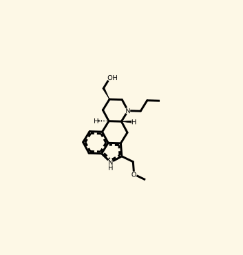 CCCN1C[C@H](CO)C[C@@H]2c3cccc4[nH]c(COC)c(c34)C[C@H]21